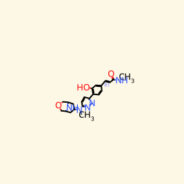 CNC(=O)/C=C/c1ccc(-c2ccc(N(C)C3CC4COCC(C3)N4)nn2)c(O)c1